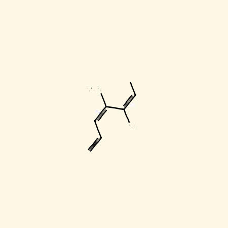 C=C/C=C(NC)\C(N)=C/CC